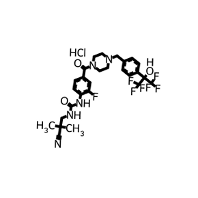 CC(C)(C#N)CNC(=O)Nc1ccc(C(=O)N2CCN(Cc3ccc(C(O)(C(F)(F)F)C(F)(F)F)cc3)CC2)cc1F.Cl